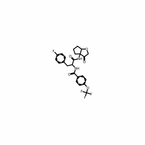 O=C(NC(Cc1ccc(F)cc1)C(=O)NC12CCCC1OCC2=O)c1ccc(OC(F)(F)F)cc1